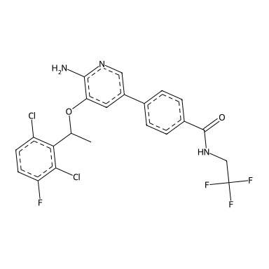 CC(Oc1cc(-c2ccc(C(=O)NCC(F)(F)F)cc2)cnc1N)c1c(Cl)ccc(F)c1Cl